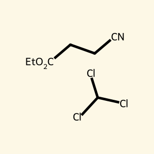 CCOC(=O)CCC#N.ClC(Cl)Cl